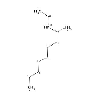 CCCCCCCC(C)NCC